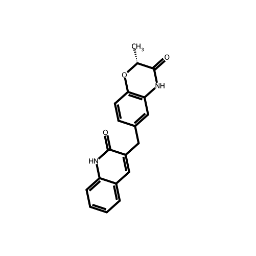 C[C@H]1Oc2ccc(Cc3cc4ccccc4[nH]c3=O)cc2NC1=O